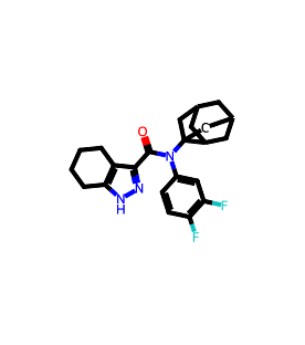 O=C(c1n[nH]c2c1CCCC2)N(c1ccc(F)c(F)c1)C12CC3CC(CC1C3)C2